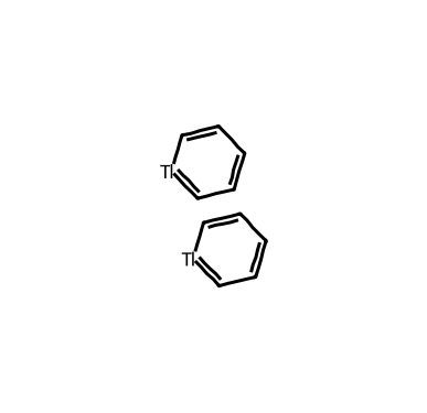 C1=C[CH]=[Tl][CH]=C1.C1=C[CH]=[Tl][CH]=C1